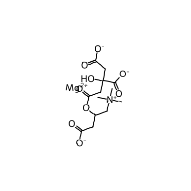 C[N+](C)(C)CC(CC(=O)[O-])OC(=O)CC(O)(CC(=O)[O-])C(=O)[O-].[Mg+2]